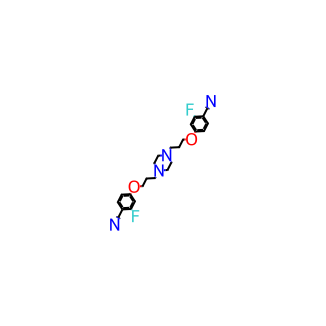 N#Cc1ccc(OCCCN2CCN(CCCOc3ccc(C#N)c(F)c3)CC2)cc1F